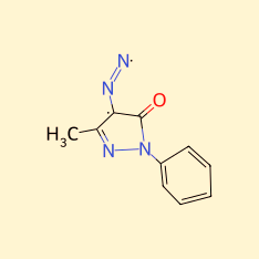 CC1=NN(c2ccccc2)C(=O)[C]1N=[N]